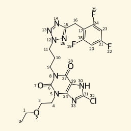 CCOCCn1c(=O)n(CCCn2nnc(Cc3c(F)cc(F)cc3F)n2)c(=O)c2[nH]c(Cl)nc21